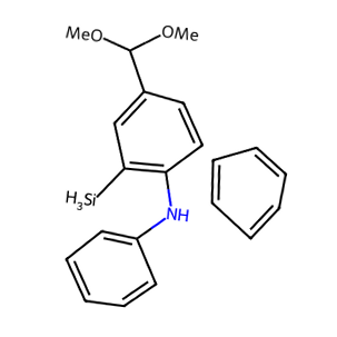 COC(OC)c1ccc(Nc2ccccc2)c([SiH3])c1.c1ccccc1